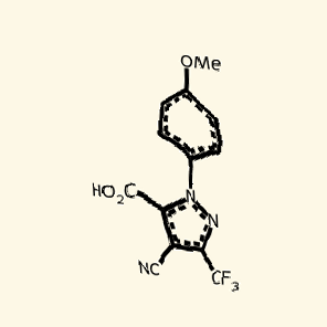 COc1ccc(-n2nc(C(F)(F)F)c(C#N)c2C(=O)O)cc1